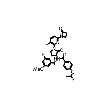 COc1cc(F)c([C@@H]2CN(c3nc(N4CCC4=O)ccc3F)C(=O)[C@H]2NC(=O)c2ccc(OC(F)F)cc2)c(F)c1